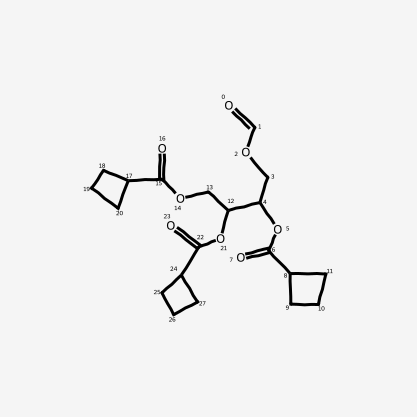 O=COCC(OC(=O)C1CCC1)C(COC(=O)C1CCC1)OC(=O)C1CCC1